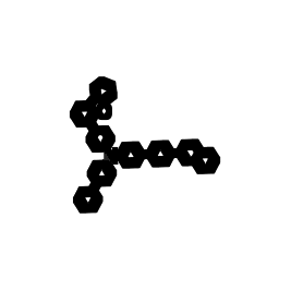 C1=CC(c2cccc3c2oc2ccccc23)CC=C1N(c1ccc(-c2ccccc2)cc1)c1ccc(-c2ccc(-c3ccc4ccccc4c3)cc2)cc1